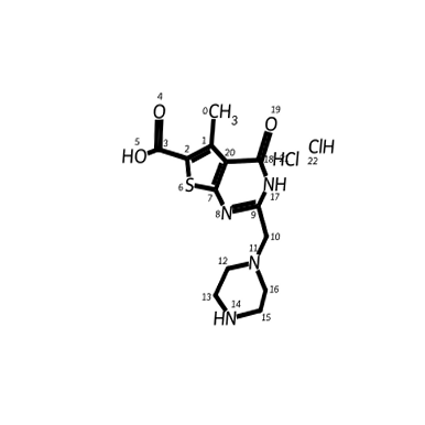 Cc1c(C(=O)O)sc2nc(CN3CCNCC3)[nH]c(=O)c12.Cl.Cl